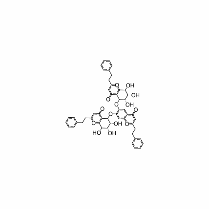 O=c1cc(CCc2ccccc2)oc2c1C(Oc1cc3c(=O)cc(CCc4ccccc4)oc3cc1OC1c3c(oc(CCc4ccccc4)cc3=O)C(O)[C@@H](O)[C@H]1O)[C@@H](O)[C@@H](O)C2O